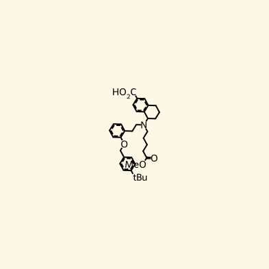 COC(=O)CCCCN(CCc1ccccc1OCc1ccc(C(C)(C)C)cc1)C1CCCc2cc(C(=O)O)ccc21